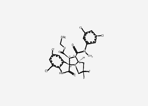 CC(=O)OCOC(=O)[C@H]1[C@@H](C(=O)N(C)c2cc(Cl)cc(Cl)c2)[C@H]2CC(F)(F)CN2[C@]12C(=O)Nc1c(Cl)cc(Cl)cc12